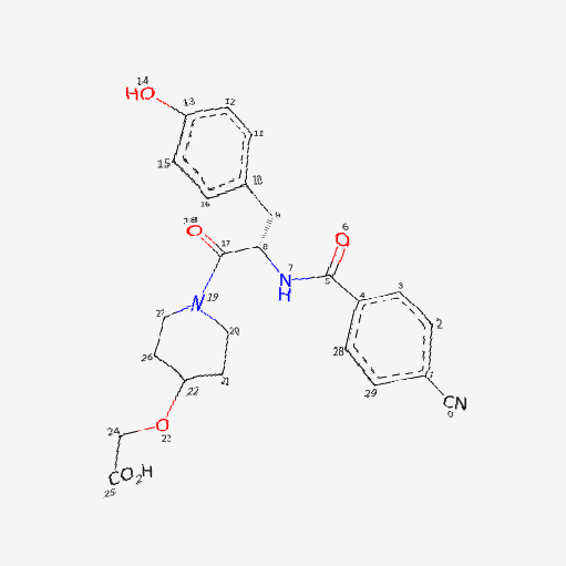 N#Cc1ccc(C(=O)N[C@@H](Cc2ccc(O)cc2)C(=O)N2CCC(OCC(=O)O)CC2)cc1